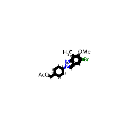 COc1c(Br)cc2cn(C3CCC(COC(C)=O)CC3)nc2c1C